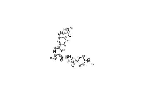 CNC(=O)c1n[nH]c2cc(-c3cnc(OC)c(C(=O)NCCC(O)c4ccc(OC)cc4)c3)ccc12